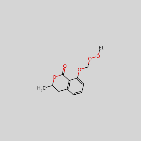 CCOOCOc1cccc2c1C(=O)OC(C)C2